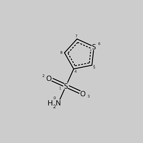 NS(=O)(=O)c1[c]scc1